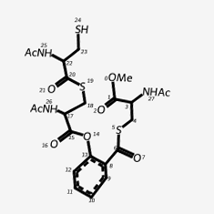 COC(=O)C(CSC(=O)c1ccccc1OC(=O)C(CSC(=O)C(CS)NC(C)=O)NC(C)=O)NC(C)=O